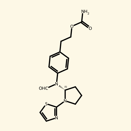 NC(=O)OCCc1ccc(N(C=O)[C@@H]2CCCN2c2nccs2)cc1